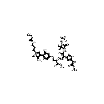 C[n+]1c(N)c(-c2ccc(OCC(O/N=C(\C(=O)N[C@@H]3C(=O)N(OS(=O)(=O)[O-])C3(C)C)c3csc(NC(=O)OC(C)(C)C)n3)C(=O)OC(C)(C)C)cc2F)cn1CCCNC(=O)OC(C)(C)C